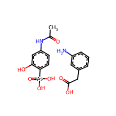 CC(=O)Nc1ccc([As](=O)(O)O)c(O)c1.Nc1cccc(CC(=O)O)c1